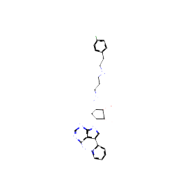 Nc1ncnc2c1c(-c1ccccc1)cn2[C@@H]1C[C@H](CNCCCNCCc2ccc(F)cc2)[C@@H](O)[C@H]1O